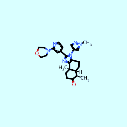 C[C@H]1C(=O)CC[C@@]2(C)c3nc(-c4ccnc(N5CCOCC5)c4)n(-c4cnn(C)c4)c3CC[C@H]12